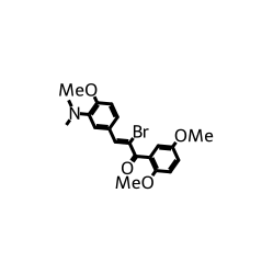 COc1ccc(OC)c(C(=O)C(Br)=Cc2ccc(OC)c(N(C)C)c2)c1